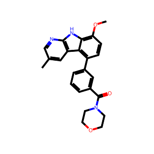 COc1ccc(-c2cccc(C(=O)N3CCOCC3)c2)c2c1[nH]c1ncc(C)cc12